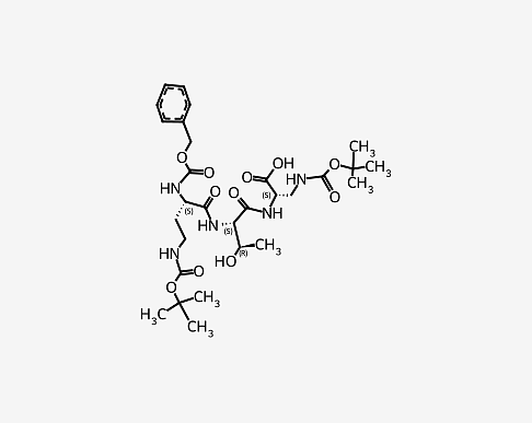 C[C@@H](O)[C@H](NC(=O)[C@H](CCNC(=O)OC(C)(C)C)NC(=O)OCc1ccccc1)C(=O)N[C@@H](CNC(=O)OC(C)(C)C)C(=O)O